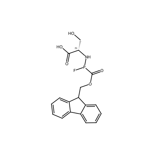 O=C(O)[C@H](CO)NP(F)C(=O)OCC1c2ccccc2-c2ccccc21